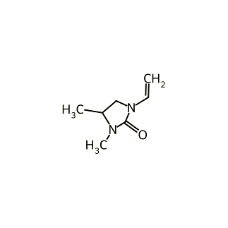 C=CN1CC(C)N(C)C1=O